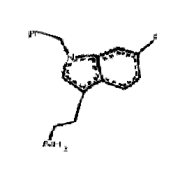 CC(C)Cn1cc(CCN)c2ccc(F)cc21